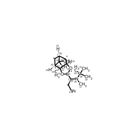 CC(C)C[C@@H](B1O[C@@H]2C[C@@H]3C[C@@H](C3(C)C)[C@]2(C)O1)N(C)[Si](C)(C)C